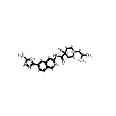 Cc1nnc(-c2ccc3cnc(NC(=O)C4(F)CCN(CC(C)C)CC4)cc3c2)s1